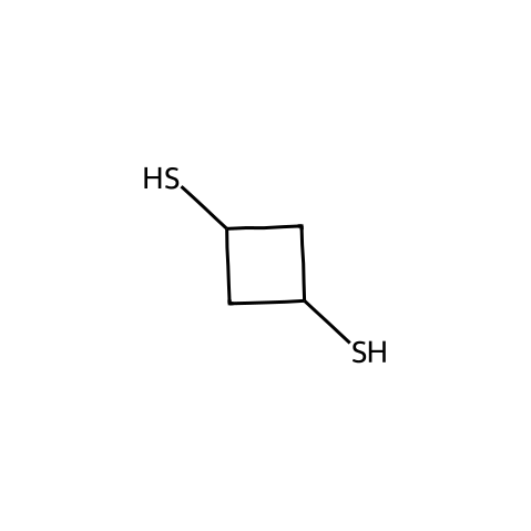 SC1CC(S)C1